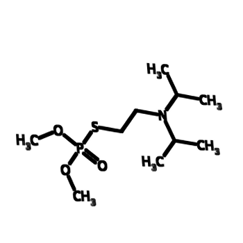 COP(=O)(OC)SCCN(C(C)C)C(C)C